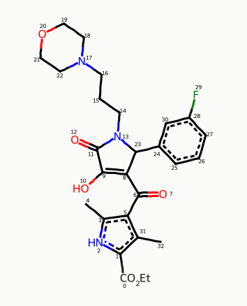 CCOC(=O)c1[nH]c(C)c(C(=O)C2=C(O)C(=O)N(CCCN3CCOCC3)C2c2cccc(F)c2)c1C